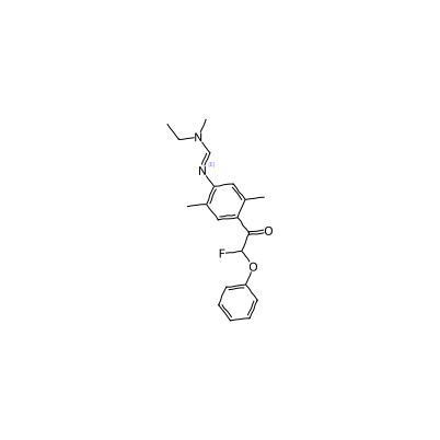 CCN(C)/C=N/c1cc(C)c(C(=O)C(F)Oc2ccccc2)cc1C